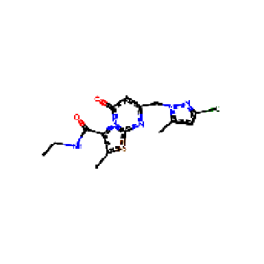 CCNC(=O)c1c(C)sc2nc(Cn3nc(Cl)cc3C)cc(=O)n12